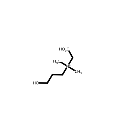 C[N+](C)(CCCO)CC(=O)O